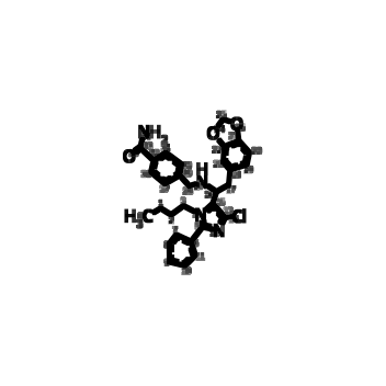 CCCCn1c(-c2ccccc2)nc(Cl)c1C(Cc1ccc2c(c1)OCO2)NCc1ccc(C(N)=O)cc1